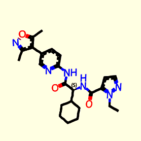 CCn1nccc1C(=O)N[C@H](C(=O)Nc1ccc(-c2c(C)noc2C)cn1)C1CCCCC1